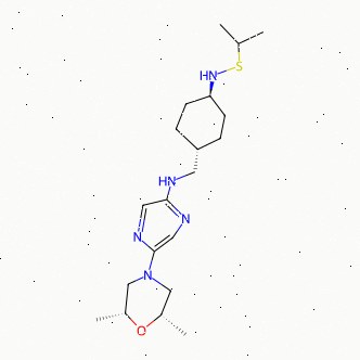 CC(C)SN[C@H]1CC[C@H](CNc2cnc(N3C[C@@H](C)O[C@@H](C)C3)cn2)CC1